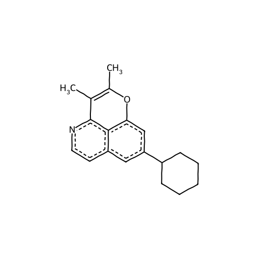 CC1=C(C)c2nccc3cc(C4CCCCC4)cc(c23)O1